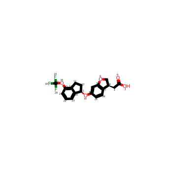 O=C(O)C[C@@H]1COc2cc(O[C@@H]3CCc4c(OC(F)(F)F)cccc43)ccc21